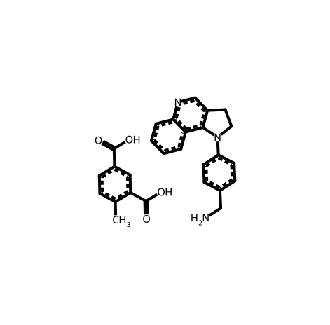 Cc1ccc(C(=O)O)cc1C(=O)O.NCc1ccc(N2CCc3cnc4ccccc4c32)cc1